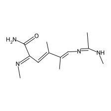 C\N=C(/C=C(C)/C(C)=C/N=C(\C)NC)C(N)=O